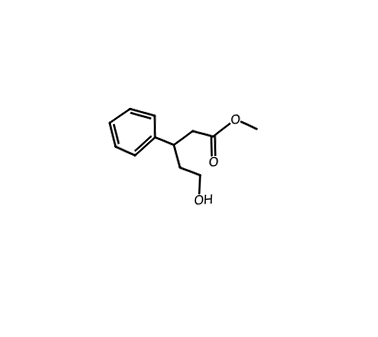 COC(=O)CC(CCO)c1ccccc1